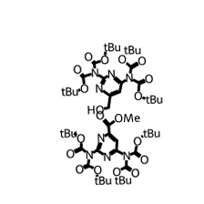 CC(C)(C)OC(=O)N(C(=O)OC(C)(C)C)c1cc(CO)nc(N(C(=O)OC(C)(C)C)C(=O)OC(C)(C)C)n1.COC(=O)c1cc(N(C(=O)OC(C)(C)C)C(=O)OC(C)(C)C)nc(N(C(=O)OC(C)(C)C)C(=O)OC(C)(C)C)n1